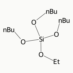 [CH2]CO[Si](OCCCC)(OCCCC)OCCCC